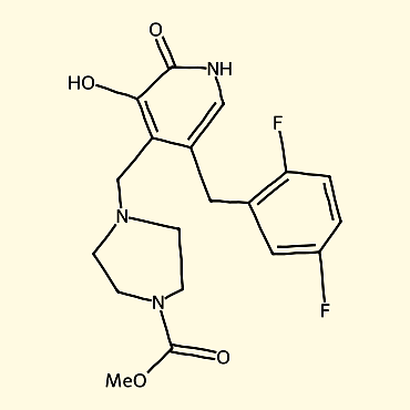 COC(=O)N1CCN(Cc2c(Cc3cc(F)ccc3F)c[nH]c(=O)c2O)CC1